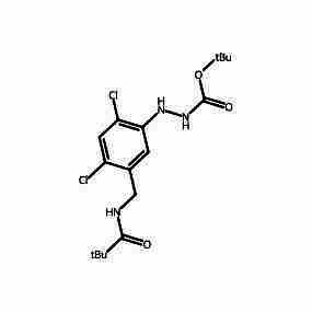 CC(C)(C)OC(=O)NNc1cc(CNC(=O)C(C)(C)C)c(Cl)cc1Cl